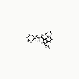 COc1cccc2c1c(C(=O)NCC1CCCCCC1)cn2C